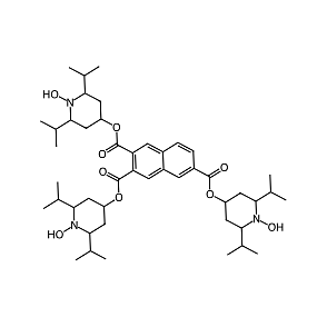 CC(C)C1CC(OC(=O)c2ccc3cc(C(=O)OC4CC(C(C)C)N(O)C(C(C)C)C4)c(C(=O)OC4CC(C(C)C)N(O)C(C(C)C)C4)cc3c2)CC(C(C)C)N1O